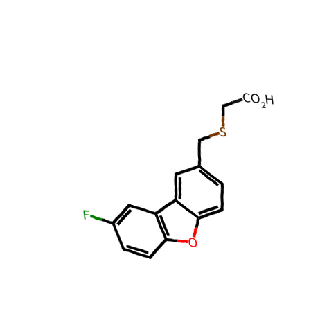 O=C(O)CSCc1ccc2oc3ccc(F)cc3c2c1